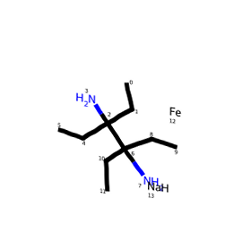 CCC(N)(CC)C(N)(CC)CC.[Fe].[NaH]